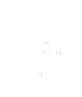 Cl.Cl.c1ccc(NCCc2ccccn2)cc1